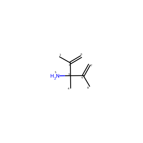 C=C(C)C(C)(N)C(=C)C